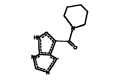 O=C(c1c[nH]c2ncn[c]c12)N1CCCCC1